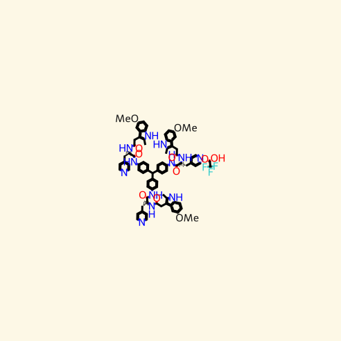 COc1ccc2[nH]c(C)c(CC(=O)N[C@H](Cc3ccncc3)C(=O)Nc3ccc(C(c4ccc(NC(=O)[C@@H](Cc5ccncc5)NC(=O)Cc5c(C)[nH]c6ccc(OC)cc56)cc4)c4ccc(NC(=O)[C@@H](Cc5ccncc5)NC(=O)Cc5c(C)[nH]c6ccc(OC)cc56)cc4)cc3)c2c1.O=C(O)C(F)(F)F